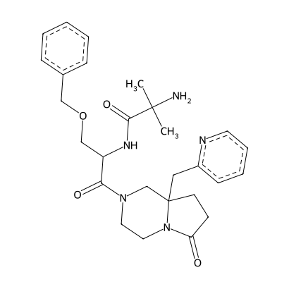 CC(C)(N)C(=O)NC(COCc1ccccc1)C(=O)N1CCN2C(=O)CCC2(Cc2ccccn2)C1